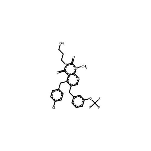 Cn1c(=O)n(CCCO)c(=O)c2c(Cc3ccc(Cl)cc3)c(Cc3cccc(OC(F)(F)F)c3)cnc21